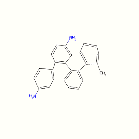 Cc1ccccc1-c1ccccc1-c1cc(N)ccc1-c1ccc(N)cc1